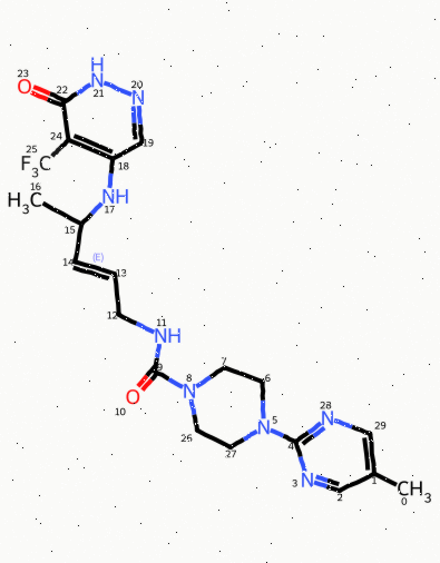 Cc1cnc(N2CCN(C(=O)NC/C=C/C(C)Nc3cn[nH]c(=O)c3C(F)(F)F)CC2)nc1